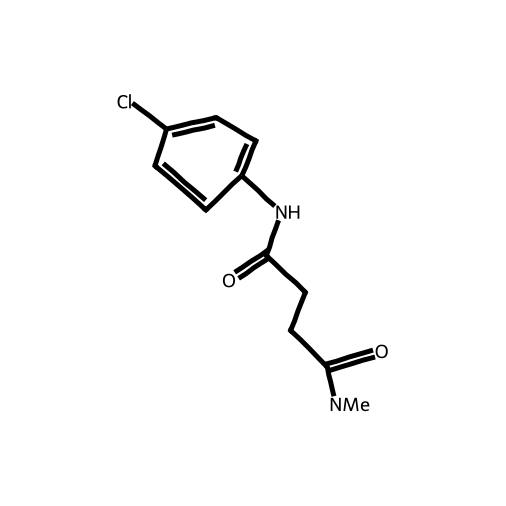 CNC(=O)CCC(=O)Nc1ccc(Cl)cc1